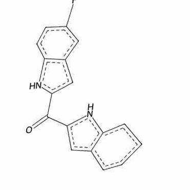 O=C(c1cc2ccccc2[nH]1)c1cc2cc(F)ccc2[nH]1